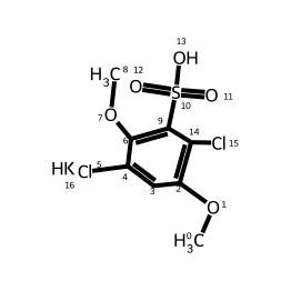 COc1cc(Cl)c(OC)c(S(=O)(=O)O)c1Cl.[KH]